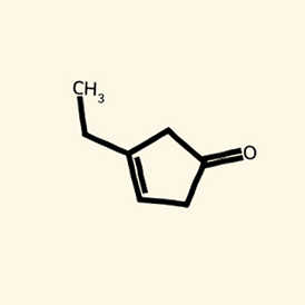 CCC1=CCC(=O)C1